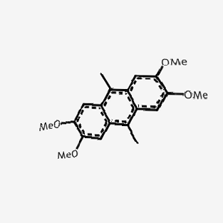 COc1cc2c(C)c3cc(OC)c(OC)cc3c(C)c2cc1OC